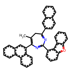 CC1=C(c2cc3ccccc3c3ccccc23)N=C(c2cccc3oc4ccccc4c23)N=C(c2ccc3ccccc3c2)C1